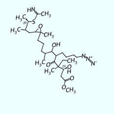 CCC(C)(C(=O)C(CCCCN=[N+]=[N-])C(O)C(C)CCCC1(C)OC1CC(C)[C@@H](C)SC(C)=N)[C@@H](O)CC(=O)OC